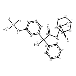 CC(C)(C)[Si](C)(C)Oc1cccc(C(O)(C(=O)O[C@H]2CN3CCC2CC3)c2ccccc2)c1